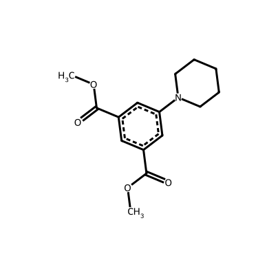 COC(=O)c1cc(C(=O)OC)cc(N2CCCCC2)c1